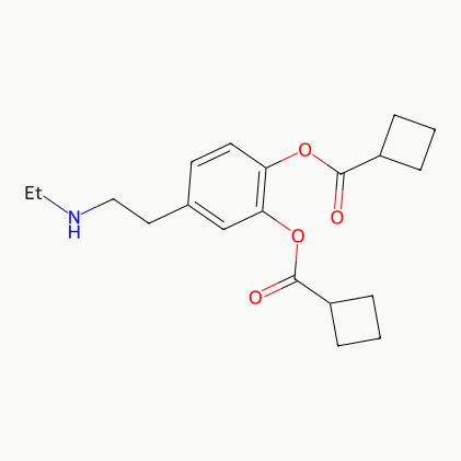 CCNCCc1ccc(OC(=O)C2CCC2)c(OC(=O)C2CCC2)c1